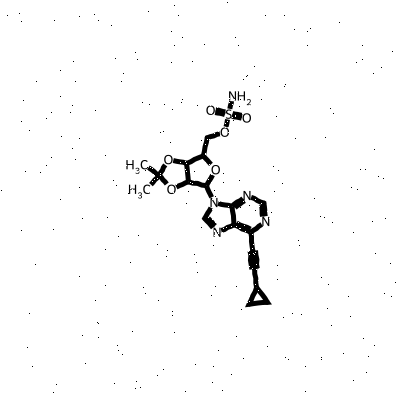 CC1(C)OC2C(COS(N)(=O)=O)OC(n3cnc4c(C#CC5CC5)ncnc43)C2O1